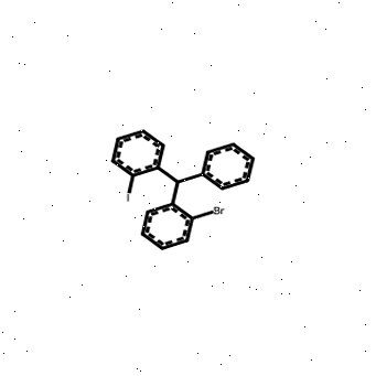 Brc1ccccc1C(c1ccccc1)c1ccccc1I